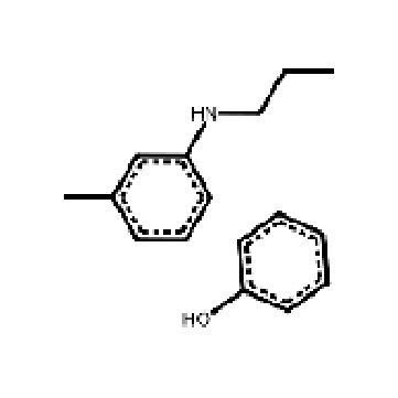 CCCNc1cccc(C)c1.Oc1ccccc1